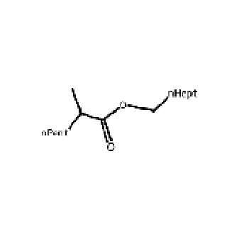 CCCCCCCCOC(=O)C(C)CCCCC